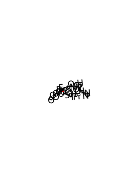 CC(C)CC(=O)SCCOP(=O)(OCOC(=O)O[C@H]1CCOC1)C(F)(F)c1ccc2sc(C(=O)N[C@H]3CCC[C@H]4CC[C@@H](C(=O)N5CC(c6ncccn6)C5)N4C3=O)cc2c1